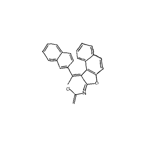 C=C(Cl)/N=C1/Oc2ccc3ccccc3c2/C1=C(/C)c1ccc2ccccc2c1